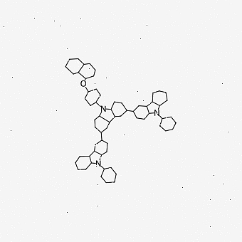 C1CCC(N2C3CCCCC3C3CC(C4CCC5C(C4)C4CC(C6CCC7C(C6)C6CCCCC6N7C6CCCCC6)CCC4N5C4CCC(OC5CCCC6CCCCC65)CC4)CCC32)CC1